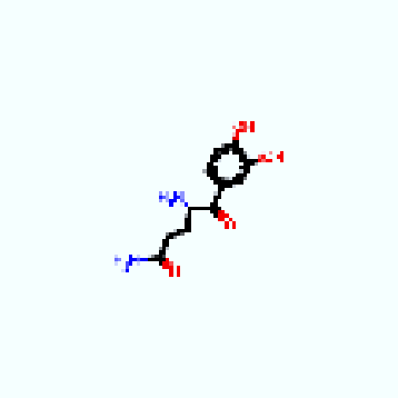 NC(=O)CC[C@H](N)C(=O)c1ccc(O)c(O)c1